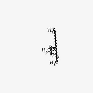 CCCCCCCCCCCCC(CCCCCCCCCC)COC(=O)C(C)CCC